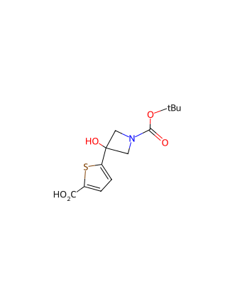 CC(C)(C)OC(=O)N1CC(O)(c2ccc(C(=O)O)s2)C1